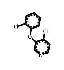 Clc1ccccc1Oc1cnccc1Cl